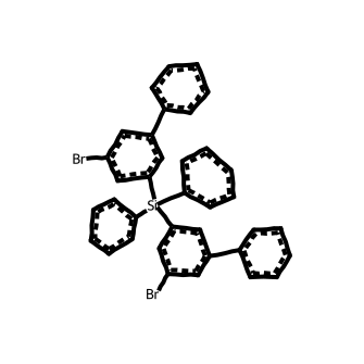 Brc1cc(-c2ccccc2)cc([Si](c2ccccc2)(c2ccccc2)c2cc(Br)cc(-c3ccccc3)c2)c1